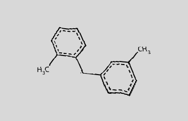 Cc1cccc([CH]c2ccccc2C)c1